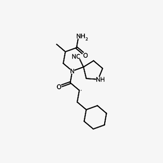 CC(CN(C(=O)[CH]CC1CCCCC1)C1(C#N)CCNC1)C(N)=O